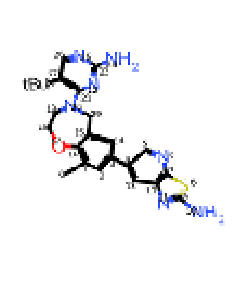 Cc1cc(-c2cnc3sc(N)nc3c2)cc2c1OCCN(c1nc(N)ncc1C(C)(C)C)C2